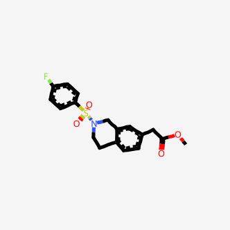 COC(=O)Cc1ccc2c(c1)CN(S(=O)(=O)c1ccc(F)cc1)CC2